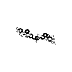 C[C@@H]1CNc2c(sc3ccc4nc(N5C[C@H]6CC[C@@H]5CN6CC5CCN(c6cccc7c6n(C)c(=O)n7C6CCC(=O)NC6=O)CC5)ccc4c23)C(=O)N1